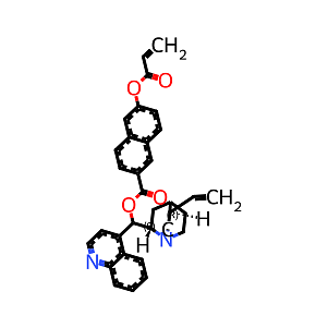 C=CC(=O)Oc1ccc2cc(C(=O)OC(c3ccnc4ccccc34)[C@@H]3CC4CCN3C[C@@H]4C=C)ccc2c1